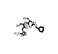 Cc1nnnn1CC(=O)C(CC(C)C)NC(=O)[C@H](CC(C)C)NC(=O)OCc1ccccc1